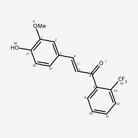 COc1cc(/C=C/C(=O)c2ccccc2C(F)(F)F)ccc1O